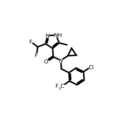 Cc1[nH]nc(C(F)F)c1C(=O)N(Cc1cc(Cl)ccc1C(F)(F)F)C1CC1